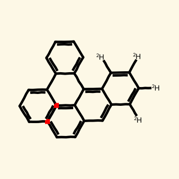 [2H]c1c([2H])c([2H])c2c(-c3ccccc3-c3ccccc3)c3ccccc3cc2c1[2H]